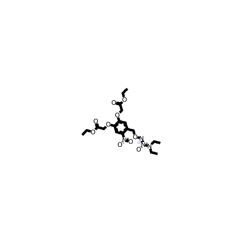 CCOC(=O)COc1cc(CO/N=[N+](\[O-])N(CC)CC)c([N+](=O)[O-])cc1OCC(=O)OCC